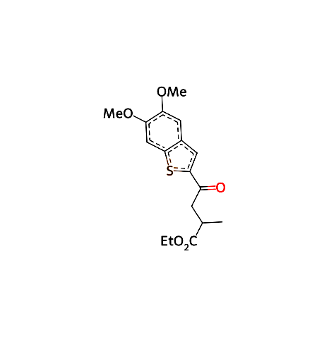 CCOC(=O)C(C)CC(=O)c1cc2cc(OC)c(OC)cc2s1